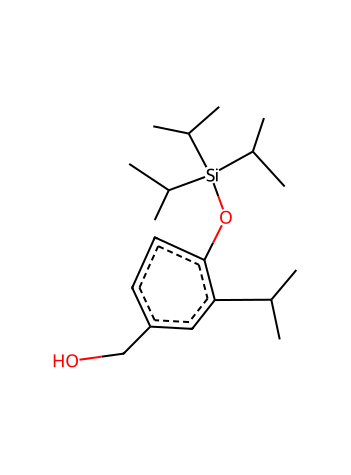 CC(C)c1cc(CO)ccc1O[Si](C(C)C)(C(C)C)C(C)C